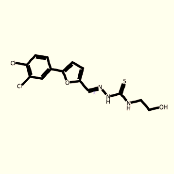 OCCNC(=S)N/N=C/c1ccc(-c2ccc(Cl)c(Cl)c2)o1